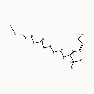 CC/C=C\C=C(\COCCCOCCCOCC)C(C)C